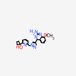 COc1cccc2c(-c3cnn(Cc4cccc(C5(O)CCC5)n4)c3)nc(N)nc12